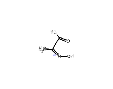 N/C(=N/O)C(=O)O